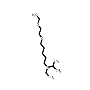 CCOCCOCCCCCN(CC)C(C)C